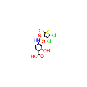 O=C(O)C1C=CC(NS(=O)(=O)c2c(Cl)sc(Cl)c2Cl)=CC1O